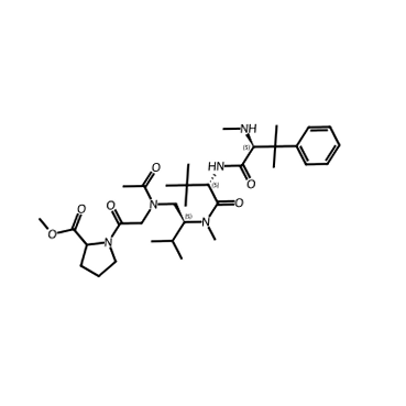 CN[C@H](C(=O)N[C@H](C(=O)N(C)[C@H](CN(CC(=O)N1CCCC1C(=O)OC)C(C)=O)C(C)C)C(C)(C)C)C(C)(C)c1ccccc1